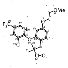 COCCOc1ccc(CC(C)(C)C=O)c(Oc2ncc(C(F)(F)F)cc2Cl)c1